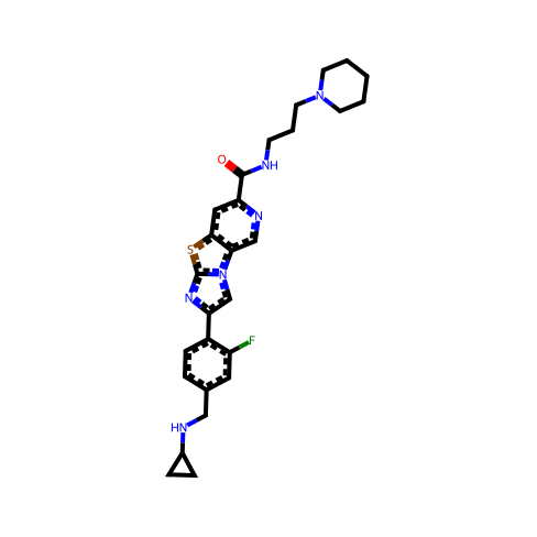 O=C(NCCCN1CCCCC1)c1cc2sc3nc(-c4ccc(CNC5CC5)cc4F)cn3c2cn1